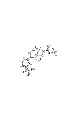 CC(C)(C)OC(=O)N1C[C@@H]2CCN(c3ccnc(C(F)(F)F)c3)C[C@@H]2C1